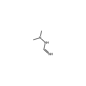 CN(C)NC=N